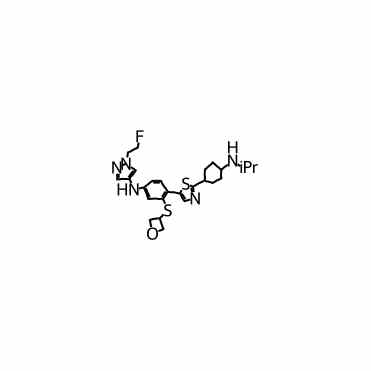 CC(C)NC1CCC(c2ncc(-c3ccc(Nc4cnn(CCF)c4)cc3SC3COC3)s2)CC1